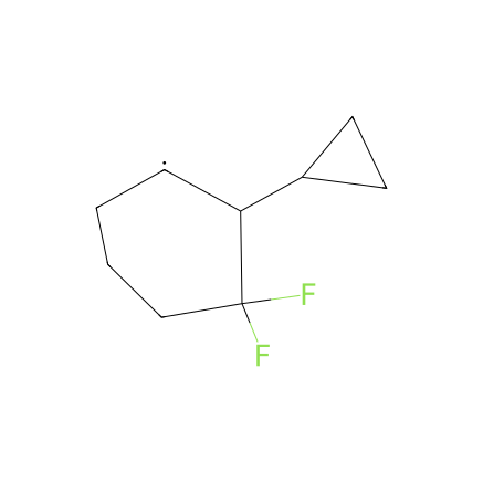 FC1(F)CCC[CH]C1C1CC1